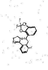 Fc1cccc(C2=NCCN2)c1CCc1cccc2c1OC(F)(F)O2